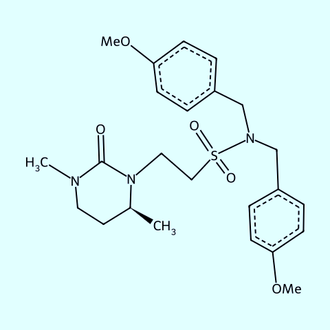 COc1ccc(CN(Cc2ccc(OC)cc2)S(=O)(=O)CCN2C(=O)N(C)CC[C@@H]2C)cc1